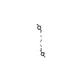 O=C(O)c1ccc(C(O)COCCOCCOCCOCC(O)c2ccc(C(=O)O)cc2)cc1